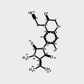 C#CCN1C(=O)COc2cc(F)c(N3C(=O)C(=C(C)C)N(C)C3=O)cc21